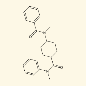 CN(C(=O)C1CCC(N(C)C(=O)c2ccccc2)CC1)c1ccccc1